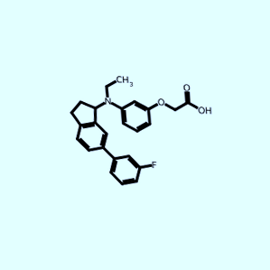 CCN(c1cccc(OCC(=O)O)c1)C1CCc2ccc(-c3cccc(F)c3)cc21